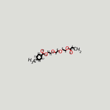 C=CC(=O)OCCOCCOCCOC(=O)c1ccc(C)cc1